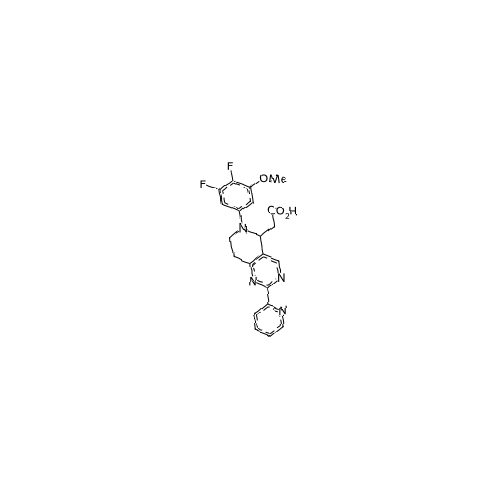 COc1cc(N2CCc3nc(-c4ccccn4)ncc3C2CC(=O)O)cc(F)c1F